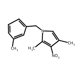 Cc1cccc(Cn2cc(C)c([N+](=O)[O-])c2C)c1